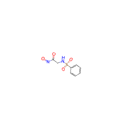 O=NC(=O)CNS(=O)(=O)c1ccccc1